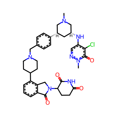 CN1C[C@H](Nc2cnn(C)c(=O)c2Cl)C[C@H](c2ccc(CN3CCC(c4cccc5c4CN(C4CCC(=O)NC4=O)C5=O)CC3)cc2)C1